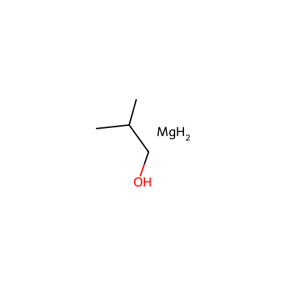 CC(C)CO.[MgH2]